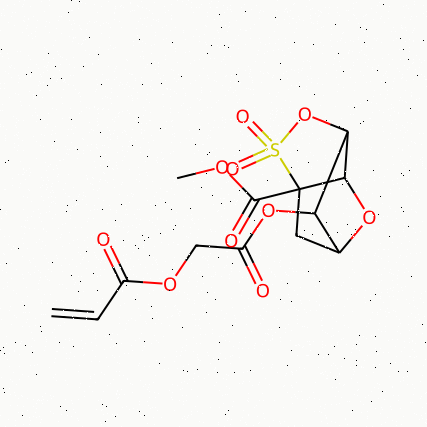 C=CC(=O)OCC(=O)OC1C2CC3(C(=O)OC)C(O2)C1OS3(=O)=O